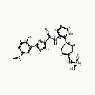 COc1ccc(F)c(-c2nc(C(=O)Nc3cccnc3N3CCC(NS(C)(=O)=O)CC3)cs2)c1